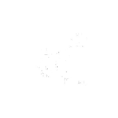 Cc1sc2c(c1C)C(c1ccc(Cl)cc1)=NC(CC(=O)NCCN)c1nnc(C)n1-2.O=C(O)C(F)(F)F